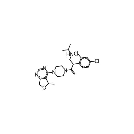 C=C(C(CNC(C)C)c1ccc(Cl)cc1Cl)N1CCN(c2ncnc3c2[C@H](C)OC3)CC1